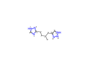 [CH2]C(CCc1nc[nH]n1)Cc1c[nH]nn1